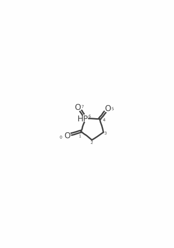 O=C1CCC(=O)[PH]1=O